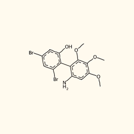 COc1cc(N)c(-c2c(O)cc(Br)cc2Br)c(OC)c1OC